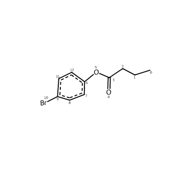 CCCC(=O)Oc1ccc(Br)cc1